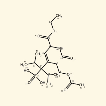 CCOC(=O)C(C=C(CCOC(C)=O)C(C(C)C)(C(C)C)P(=O)(O)O)NC=O